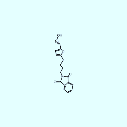 O=C1c2ccccc2C(=O)N1CCCCc1ccc(/C=N/O)o1